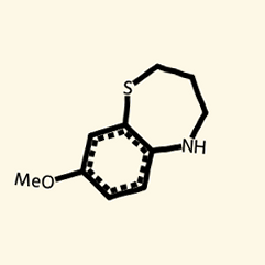 COc1ccc2c(c1)SCCCN2